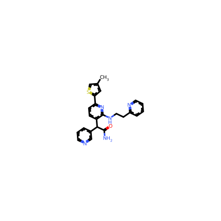 Cc1csc(-c2ccc(C(C(N)=O)c3cccnc3)c(NCCc3ccccn3)n2)c1